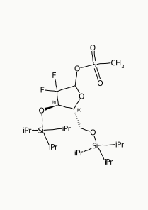 CC(C)[Si](OC[C@H]1OC(OS(C)(=O)=O)C(F)(F)[C@@H]1O[Si](C(C)C)(C(C)C)C(C)C)(C(C)C)C(C)C